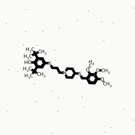 COc1ccc(CSC2CCN(CCCSc3cc(C(C)(C)C)c(O)c(C(C)(C)C)c3)CC2)c(OC)c1OC